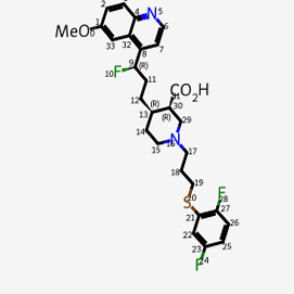 COc1ccc2nccc([C@H](F)CC[C@@H]3CCN(CCCSc4cc(F)ccc4F)C[C@@H]3C(=O)O)c2c1